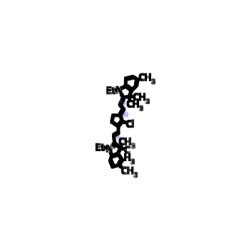 CCN1/C(=C/C=C2\CCC(/C=C/C3=[N+](CC)c4ccc(C)cc4C3(C)C)=C2Cl)C(C)(C)c2cc(C)ccc21